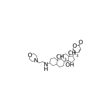 CC12CCC(NCCN3CCOCC3)CC1CCC1C2CCC2(C)C(c3ccc(=O)oc3)CCC12O